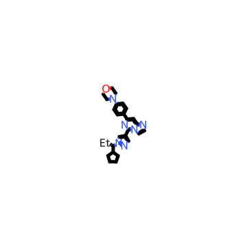 CCC(C1CCCC1)n1cc(-c2nc(-c3ccc(N4CCOCC4)cc3)cc3nccn23)cn1